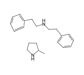 CC1CCCN1.c1ccc(CCNCCc2ccccc2)cc1